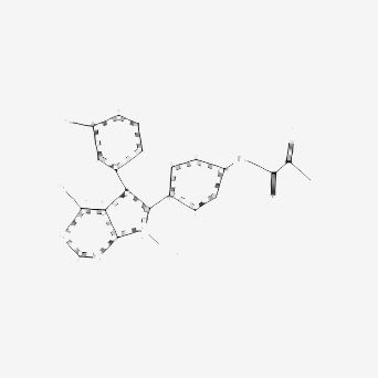 C=C(C)C(=O)Nc1ccc(-c2c(-c3cccc(N)c3)c3c(N)ncnc3n2C)cc1